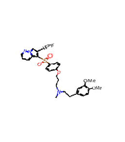 COc1ccc(CCN(C)CCCOc2ccc(S(=O)(=O)c3c(C(C)C)cn4ncccc34)cc2)cc1OC